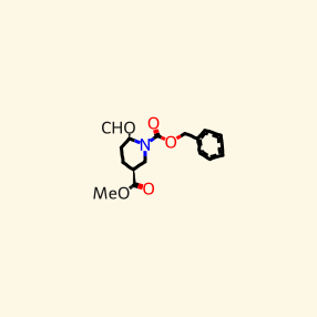 COC(=O)[C@H]1CC[C@H](C=O)N(C(=O)OCc2ccccc2)C1